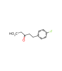 O=C(O)CC(=O)CCc1ccc(F)cc1